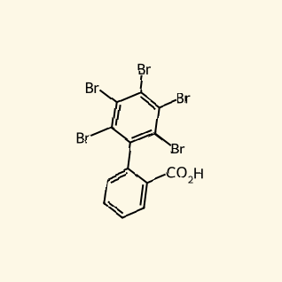 O=C(O)c1ccccc1-c1c(Br)c(Br)c(Br)c(Br)c1Br